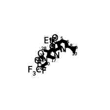 CCS(=O)(=O)c1ccc(C2CC2)nc1-c1cc2c(cn1)N(CC(F)(F)C(F)(F)F)C(=O)OC2